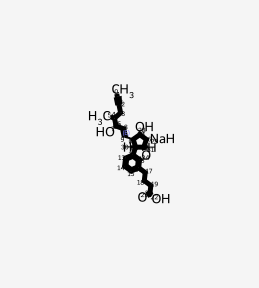 CC#CCC(C)[C@H](O)/C=C/[C@@H]1[C@H]2c3cccc(CCCC(=O)O)c3O[C@H]2C[C@H]1O.[NaH]